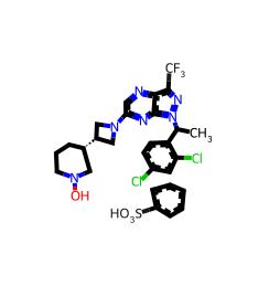 CC(c1ccc(Cl)cc1Cl)n1nc(C(F)(F)F)c2ncc(N3CC([C@H]4CCCN(O)C4)C3)nc21.O=S(=O)(O)c1ccccc1